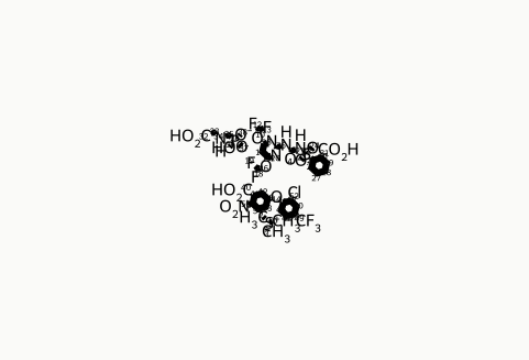 C[S+](C)C.O=C(Nc1nc(OC(F)F)cc(OC(F)F)n1)NS(=O)(=O)c1ccccc1C(=O)O.O=C(O)CNCP(=O)([O-])O.O=C(O)c1cc(Oc2ccc(C(F)(F)F)cc2Cl)ccc1[N+](=O)[O-]